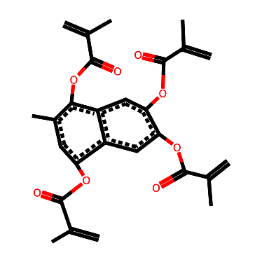 C=C(C)C(=O)Oc1cc2c(OC(=O)C(=C)C)cc(C)c(OC(=O)C(=C)C)c2cc1OC(=O)C(=C)C